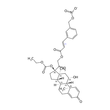 CCOC(=O)O[C@]1(C(=O)COC(=O)/C=C/c2cccc(CO[N+](=O)[O-])c2)CC[C@H]2[C@@H]3CCC4=CC(=O)C=C[C@]4(C)[C@H]3[C@@H](O)C[C@@]21C